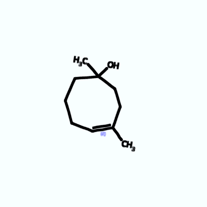 C/C1=C/CCCC(C)(O)CC1